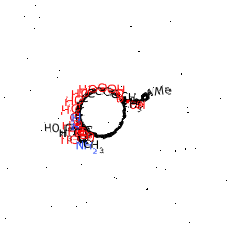 CNc1ccc(C(=O)CC(O)CCC(C)C2OC(=O)CC(O)CC(=O)CC(O)CC(O)CC(O)CC(O)CC(=O)CC(O)C(C(=O)NCC(=O)O)C(O)CC(OC3O[C@H](C)[C@@H](O)[C@H](N)[C@@H]3C)/C=C/C=C/C=C/C=C\C=C/C=C/C=C/C2C)cc1